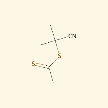 CC(=S)SC(C)(C)C#N